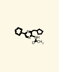 CC(=O)Nc1ncc(-c2ccccc2)nc1CC1CCCC1